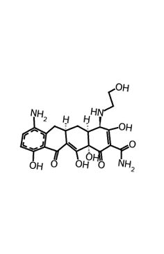 NC(=O)C1=C(O)[C@H](NCCO)[C@@H]2C[C@@H]3Cc4c(N)ccc(O)c4C(=O)C3=C(O)[C@]2(O)C1=O